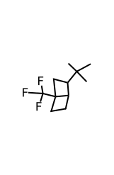 CC(C)(C)C1CC2(C(F)(F)F)CCC12